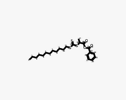 CCCCCCCCCCCCSC(=S)SC(C)C(=O)OC(=O)c1ccccc1